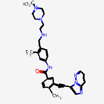 Cc1ccc(C(=O)Nc2ccc(CNCCN3CCN(C(=O)O)CC3)c(C(F)(F)F)c2)cc1C#Cc1cnc2cccnn12